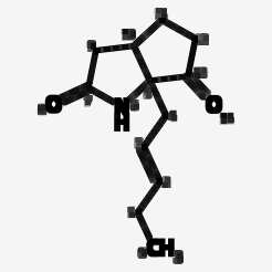 CCC=CCC12NC(=O)CC1CCC2=O